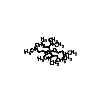 CCC(N(C)C)[Si](OCCN(C)C)(OCCN(C)C)C(CC)N(C)C